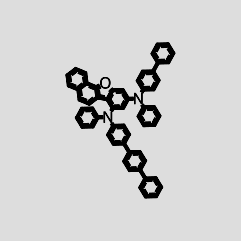 c1ccc(-c2ccc(-c3ccc(N(c4ccccc4)c4cc(N(c5ccccc5)c5ccc(-c6ccccc6)cc5)cc5oc6c7ccccc7ccc6c45)cc3)cc2)cc1